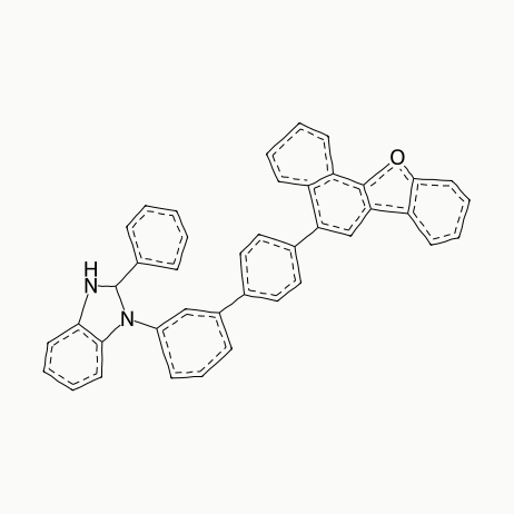 c1ccc(C2Nc3ccccc3N2c2cccc(-c3ccc(-c4cc5c6ccccc6oc5c5ccccc45)cc3)c2)cc1